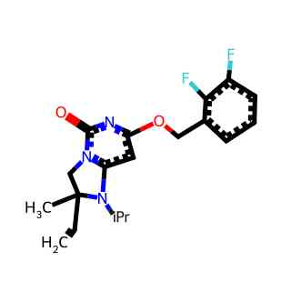 C=CC1(C)Cn2c(cc(OCc3cccc(F)c3F)nc2=O)N1C(C)C